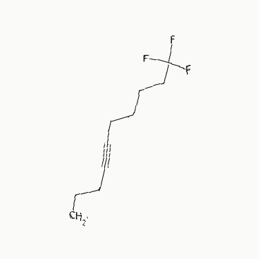 [CH2]CCC#CCCCCC(F)(F)F